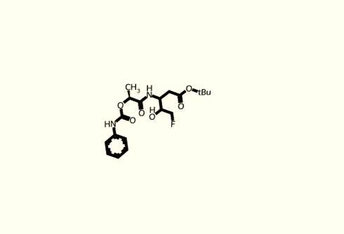 C[C@H](OC(=O)Nc1ccccc1)C(=O)NC(CC(=O)OC(C)(C)C)C(O)CF